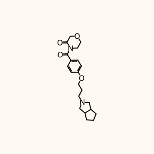 O=C1COCCN1C(=O)c1ccc(OCCCN2CC3CCCC3C2)cc1